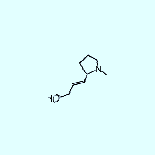 CN1CCC[C@@H]1C=CCO